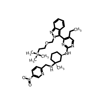 CCc1cnc(N[C@@H]2CCC[C@](C)(NCc3ccc([N+](=O)[O-])cn3)C2)nc1-c1c2ccccc2nn1COCC[Si](C)(C)C